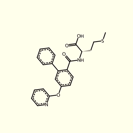 CSCC[C@H](NC(=O)c1ccc(Oc2ccccn2)cc1-c1ccccc1)C(=O)O